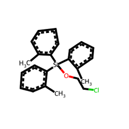 Cc1ccccc1[Si](OCCCl)(c1ccccc1C)c1ccccc1C